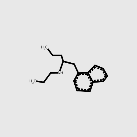 CCCNC(CCC)Cc1cccc2ccccc12